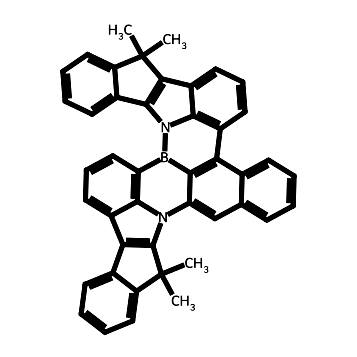 CC1(C)c2ccccc2-c2c1c1cccc3c1n2B1c2c(cc4ccccc4c2-3)-n2c3c(c4cccc1c42)-c1ccccc1C3(C)C